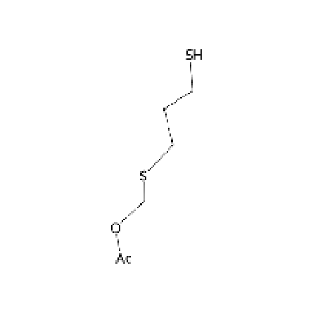 CC(=O)OCSCCCS